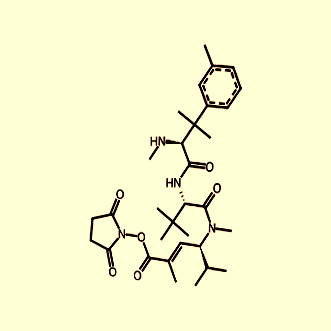 CN[C@H](C(=O)N[C@H](C(=O)N(C)[C@H](/C=C(\C)C(=O)ON1C(=O)CCC1=O)C(C)C)C(C)(C)C)C(C)(C)c1cccc(C)c1